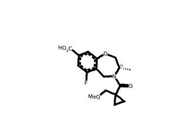 COCC1(C(=O)N2Cc3c(F)cc(C(=O)O)cc3OC[C@@H]2C)CC1